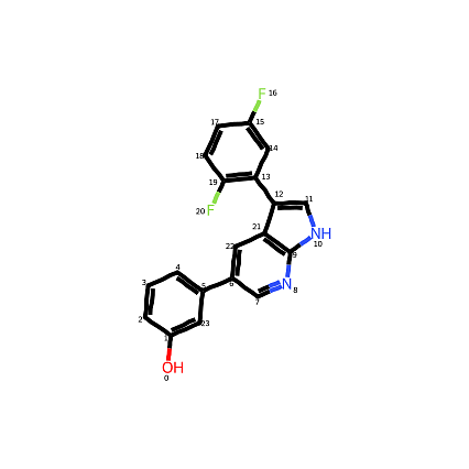 Oc1cccc(-c2cnc3[nH]cc(-c4cc(F)ccc4F)c3c2)c1